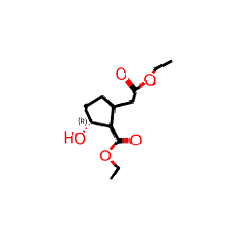 CCOC(=O)CC1CC[C@@H](O)C1C(=O)OCC